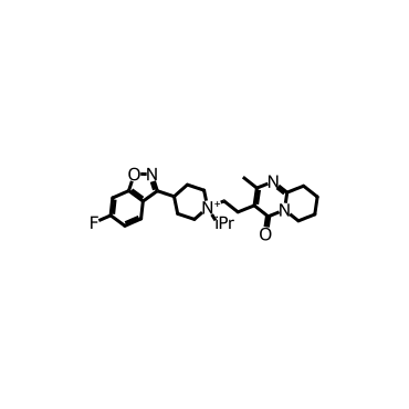 Cc1nc2n(c(=O)c1CC[N+]1(C(C)C)CCC(c3noc4cc(F)ccc34)CC1)CCCC2